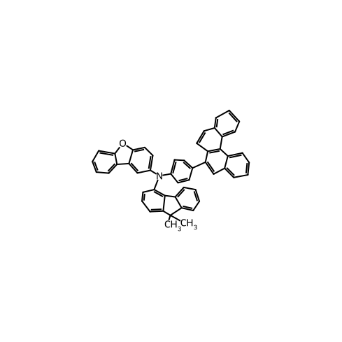 CC1(C)c2ccccc2-c2c(N(c3ccc(-c4cc5ccccc5c5c4ccc4ccccc45)cc3)c3ccc4oc5ccccc5c4c3)cccc21